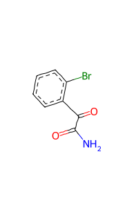 NC(=O)C(=O)c1ccccc1Br